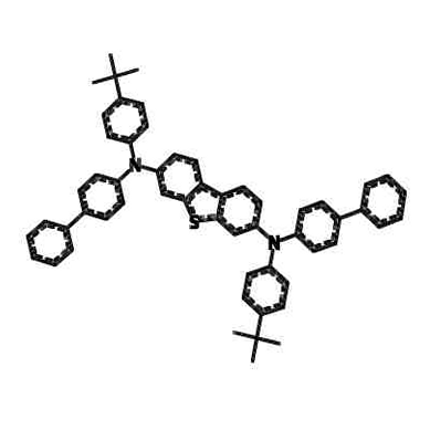 CC(C)(C)c1ccc(N(c2ccc(-c3ccccc3)cc2)c2ccc3c(c2)sc2cc(N(c4ccc(-c5ccccc5)cc4)c4ccc(C(C)(C)C)cc4)ccc23)cc1